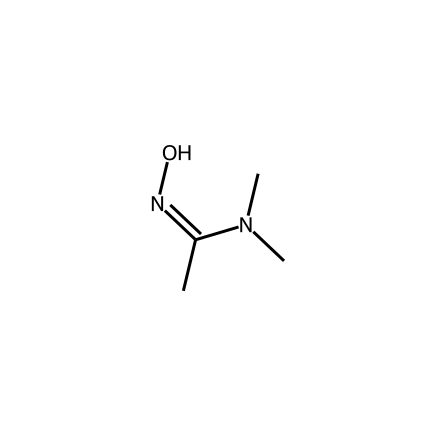 C/C(=N/O)N(C)C